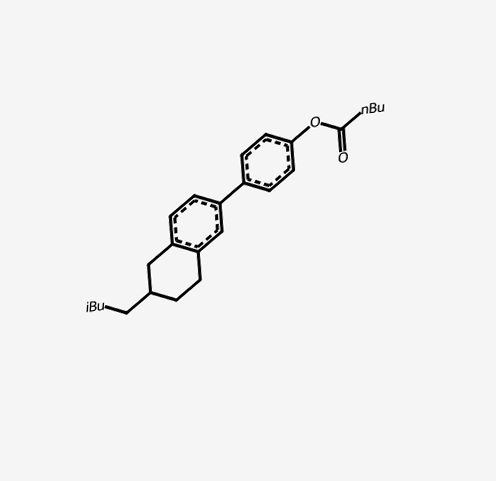 CCCCC(=O)Oc1ccc(-c2ccc3c(c2)CCC(CC(C)CC)C3)cc1